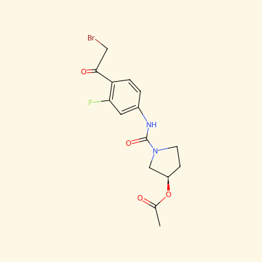 CC(=O)O[C@@H]1CCN(C(=O)Nc2ccc(C(=O)CBr)c(F)c2)C1